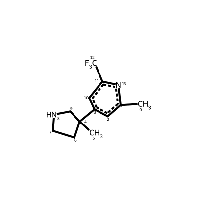 Cc1cc(C2(C)CCNC2)cc(C(F)(F)F)n1